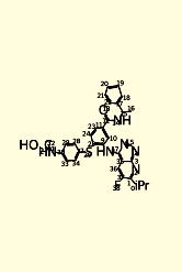 CC(C)c1nc2ncnc(Nc3cc(C(=O)NC(C)c4ccccc4)ccc3Sc3ccc(NC(=O)O)cc3)c2cc1F